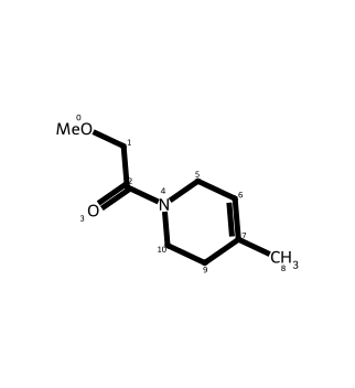 COCC(=O)N1CC=C(C)CC1